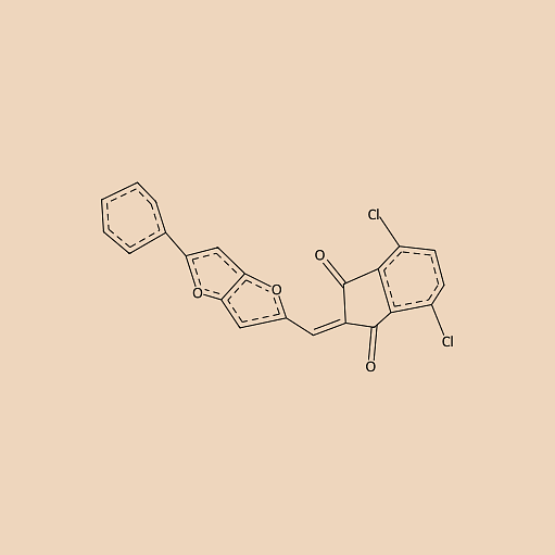 O=C1C(=Cc2cc3oc(-c4ccccc4)cc3o2)C(=O)c2c(Cl)ccc(Cl)c21